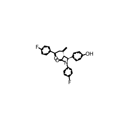 C=C(CC(=O)c1ccc(F)cc1)[C@H]1C(=O)N(c2ccc(F)cc2)[C@@H]1c1ccc(O)cc1